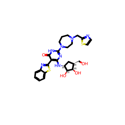 O=c1[nH]c(N2CCCN(Cc3nccs3)CC2)nc(N[C@@H]2C[C@H](CO)[C@@H](O)[C@H]2O)c1-c1nc2ccccc2s1